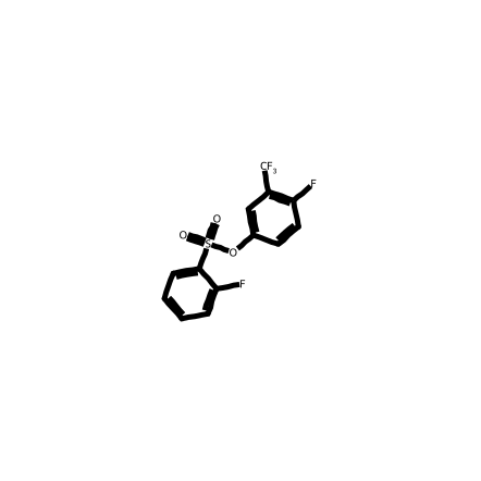 O=S(=O)(Oc1ccc(F)c(C(F)(F)F)c1)c1ccccc1F